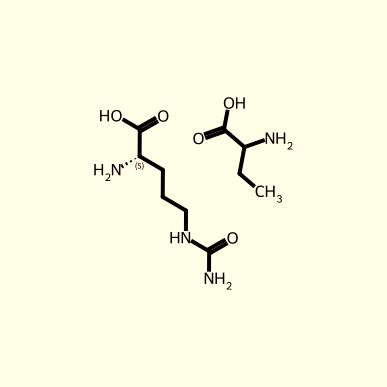 CCC(N)C(=O)O.NC(=O)NCCC[C@H](N)C(=O)O